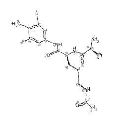 [CH2]c1c(F)cc(NC(=O)[C@H](CCCNC(N)=O)NC(=O)[C@@H](N)C(C)C)cc1F